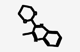 Cc1nc2ccccc2nc1C1OCCCO1